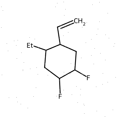 C=CC1CC(F)C(F)CC1CC